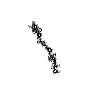 Cc1cccc(C(=O)NC2CC(n3cnc4c(NCc5cccc(OCC6CCN(C(=O)COc7ccc8c(c7)C(=O)N([C@H]7CCC(=O)NC7=O)C8=O)CC6)c5)ncnc43)C2)n1